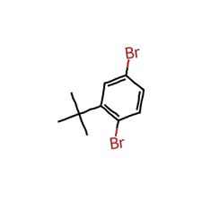 CC(C)(C)c1cc(Br)ccc1Br